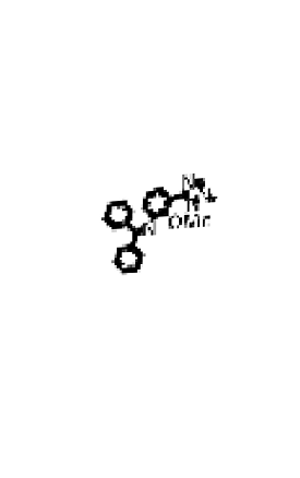 COc1c(N=C(c2ccccc2)c2ccccc2)cccc1-c1ncn(C)n1